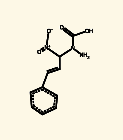 NN(C(=O)O)C(C=Cc1ccccc1)[N+](=O)[O-]